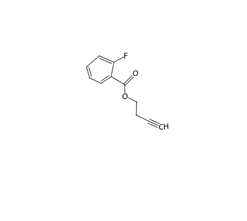 C#CCCOC(=O)c1ccccc1F